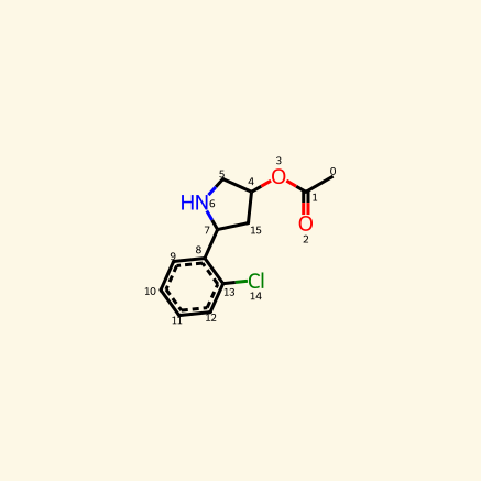 CC(=O)OC1CNC(c2ccccc2Cl)C1